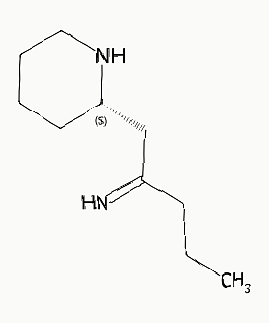 CCCC(=N)C[C@@H]1CCCCN1